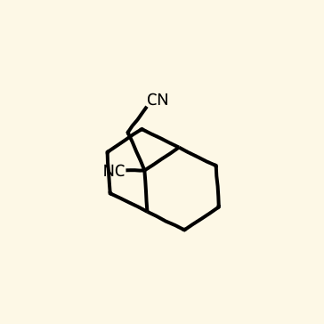 N#CCC1(C#N)C2CCCC1CCC2